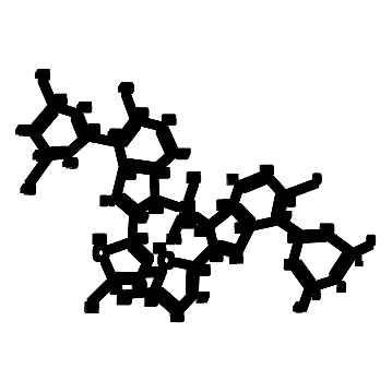 Cc1cc(C)cc(-c2c(C)ccc3c2C=C(c2ccc(C)o2)C3[Si](C)(C)C2C(c3ccc(C)o3)=Cc3c2ccc(C)c3-c2cc(C)cc(C)c2)c1